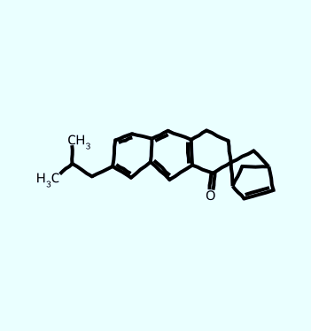 CC(C)Cc1ccc2cc3c(cc2c1)C(=O)C1(CC3)CC2C=CC1C2